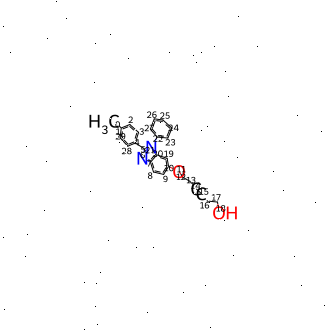 Cc1ccc(-c2nc3ccc(OCCCCCCO)cc3n2-c2ccccc2)cc1